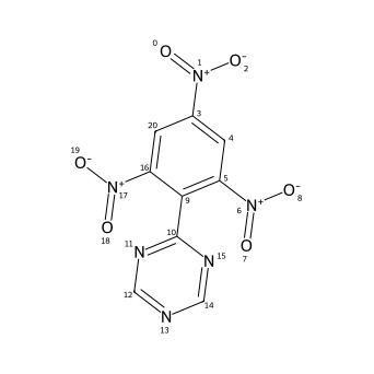 O=[N+]([O-])c1cc([N+](=O)[O-])c(-c2ncncn2)c([N+](=O)[O-])c1